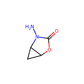 NN1C(=O)OC2CC21